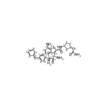 NC(=O)O[C@@H]1CC[C@H](NC(=O)c2sc3c(N)ccc4c3c2C(N)C(=O)C4(N)c2ccc(Oc3ccccc3)cc2)C1